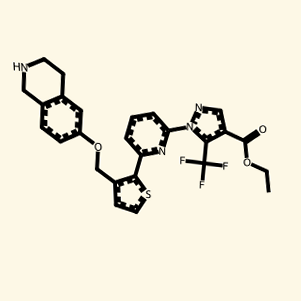 CCOC(=O)c1cnn(-c2cccc(-c3sccc3COc3ccc4c(c3)CCNC4)n2)c1C(F)(F)F